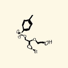 CCOC(COS(=O)(=O)c1ccc(C)cc1)OCCO